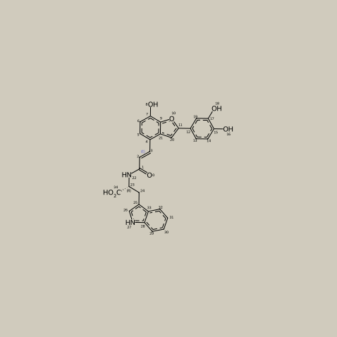 O=C(/C=C/c1ccc(O)c2oc(-c3ccc(O)c(O)c3)cc12)N[C@H](Cc1c[nH]c2ccccc12)C(=O)O